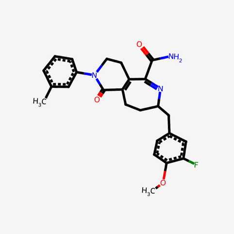 COc1ccc(CC2CCC3=C(CCN(c4cccc(C)c4)C3=O)C(C(N)=O)=N2)cc1F